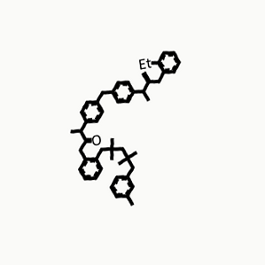 C=C(Cc1ccccc1CC)C(C)c1ccc(Cc2ccc(C(C)C(=O)Cc3ccccc3CC(C)(C)CC(C)(C)Cc3cccc(C)c3)cc2)cc1